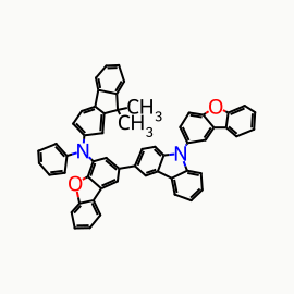 CC1(C)c2ccccc2-c2ccc(N(c3ccccc3)c3cc(-c4ccc5c(c4)c4ccccc4n5-c4ccc5oc6ccccc6c5c4)cc4c3oc3ccccc34)cc21